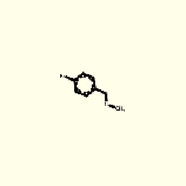 [CH2]OCc1ccc(Br)cc1